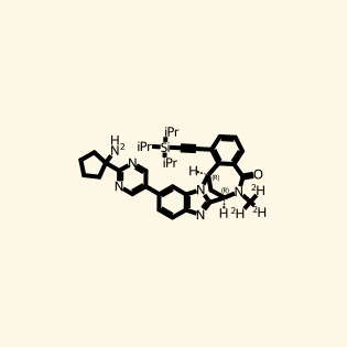 [2H]C([2H])([2H])N1C(=O)c2cccc(C#C[Si](C(C)C)(C(C)C)C(C)C)c2[C@H]2C[C@@H]1c1nc3ccc(-c4cnc(C5(N)CCCC5)nc4)cc3n12